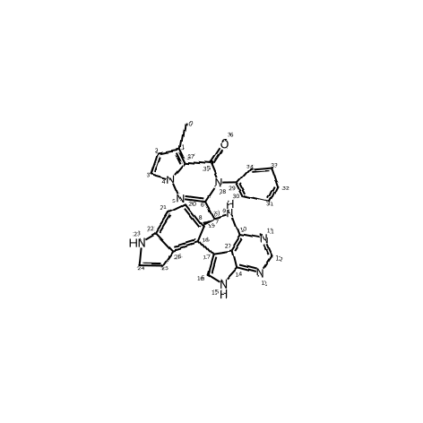 Cc1ccn2nc([C@H](C)Nc3ncnc4[nH]cc(-c5cccc6[nH]ccc56)c34)n(-c3ccccc3)c(=O)c12